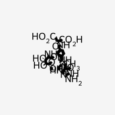 CN1c2c(nc(N)[nH]c2=O)NC[C@@H]1CNc1ccc(C(=O)NC(CCC(=O)O)C(=O)O)cc1.N[C@H]1C(O)O[C@H](CO)[C@@H](O)[C@@H]1O